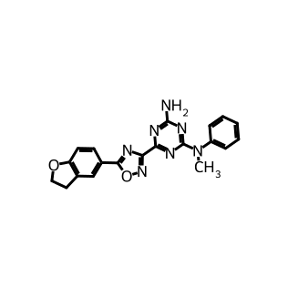 CN(c1ccccc1)c1nc(N)nc(-c2noc(-c3ccc4c(c3)CCO4)n2)n1